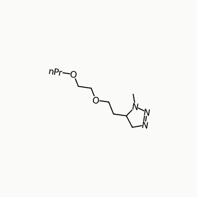 CCCOCCOCCC1CN=NN1C